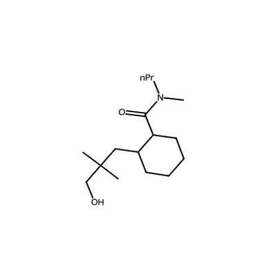 CCCN(C)C(=O)C1CCCCC1CC(C)(C)CO